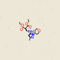 CCOC(=O)C(=CNc1cc(C)nn1C1CCOCC1)C(=O)OCC